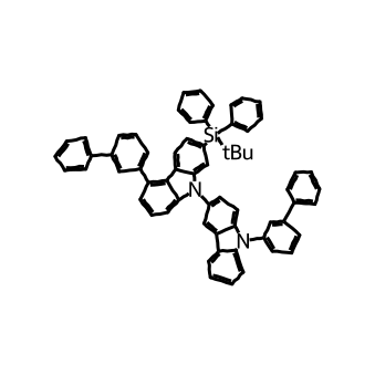 CC(C)(C)[Si](c1ccccc1)(c1ccccc1)c1ccc2c3c(-c4cccc(-c5ccccc5)c4)cccc3n(-c3ccc4c(c3)c3ccccc3n4-c3cccc(-c4ccccc4)c3)c2c1